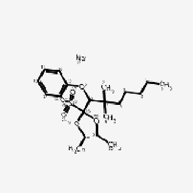 CCCCCC(C)(C)C(Oc1ccccc1)C(OCC)(OCC)S(=O)(=O)[O-].[Na+]